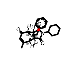 CC1=CC(=O)[C@@H]2[C@@H]3C(=O)N(C4CCCCC4)C(=O)[C@@H]3[C@H]1N2Cc1ccccc1